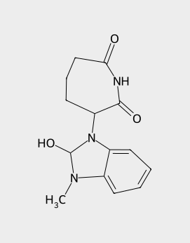 CN1c2ccccc2N(C2CCCC(=O)NC2=O)C1O